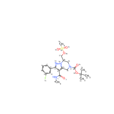 CNC(=O)c1c(-c2cccc(F)c2)nn2c1CN(C(=O)OC(C)(C)C)CC2COS(C)(=O)=O